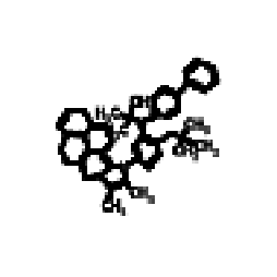 CC1=C(C)N(c2ccc(CC(C)(C)C)c(C(C3C=CC(c4ccccc4)=CC3)C(C)(C)C)c2)C2=C3CC=C4CC=CC5=C4C3=C(CC5)CC12